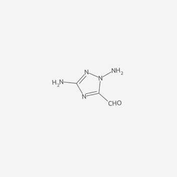 Nc1nc(C=O)n(N)n1